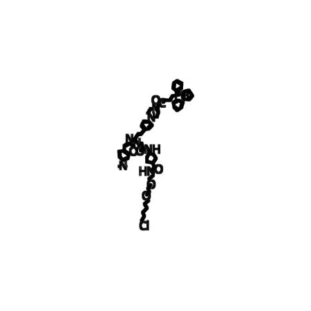 CN(C)c1ccc(/C=C2N=C(/C=C/c3ccc(N4CCN(C(=O)CCCC[PH](c5ccccc5)(c5ccccc5)c5ccccc5)CC4)cc3)N(CC(=O)NC3CCC(C(=O)NCCOCCOCCCCCCCl)CC3)C/2=O)cc1